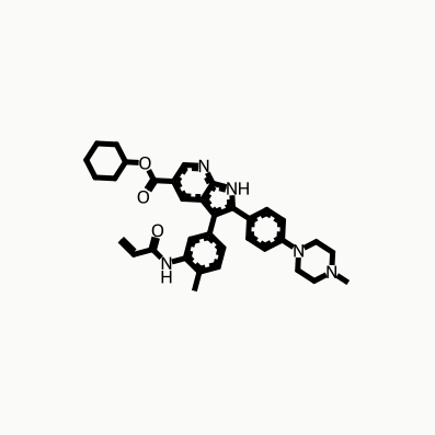 C=CC(=O)Nc1cc(-c2c(-c3ccc(N4CCN(C)CC4)cc3)[nH]c3ncc(C(=O)OC4CCCCC4)cc23)ccc1C